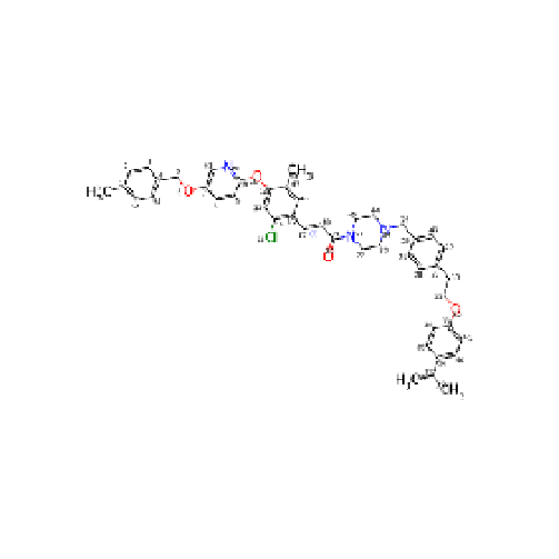 Cc1ccc(COc2ccc(Oc3cc(Cl)c(/C=C/C(=O)N4CCN(Cc5ccc(CCOc6ccc(C(C)C)cc6)cc5)CC4)cc3C)nc2)cc1